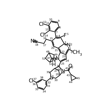 Cc1nc2c(F)c(-c3cccc(Cl)c3Cl)c(CCC#N)cc2c2c1cc(C1C3CC(CN(c4cccc(Cl)c4)C3)N1C(=O)C1CC1)n2C1C2CNC1C2